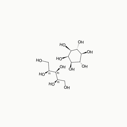 OC[C@@H](O)[C@H](O)[C@@H](O)CO.O[C@H]1[C@H](O)[C@@H](O)[C@H](O)[C@@H](O)[C@H]1O